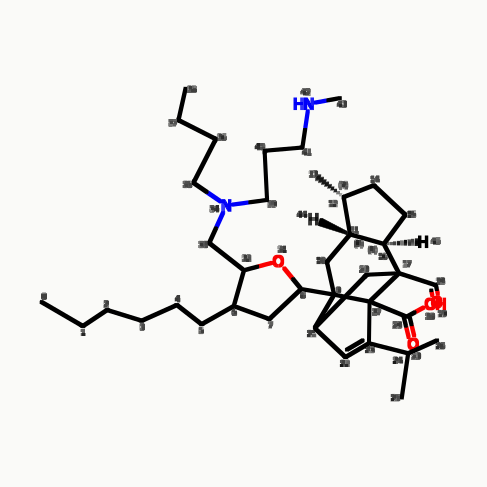 CCCCCCC1CC(C23C[C@@H]4[C@H](C)CC[C@H]4C4(C=O)CC2C=C(C(C)C)C34C(=O)O)OC1CN(CCCC)CCCNC